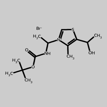 Cc1c(C(C)O)sc[n+]1C(C)NC(=O)OC(C)(C)C.[Br-]